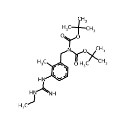 CCNC(=N)Nc1cccc(CN(C(=O)OC(C)(C)C)C(=O)OC(C)(C)C)c1C